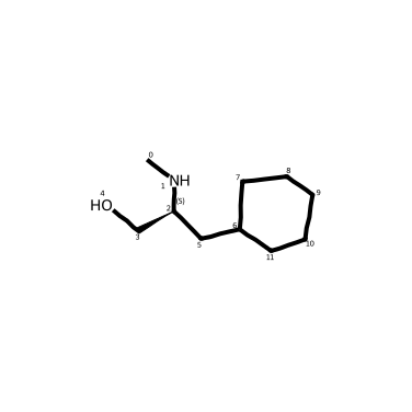 CN[C@H](CO)CC1CCCCC1